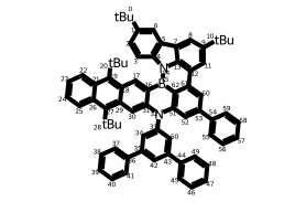 CC(C)(C)c1ccc2c(c1)c1cc(C(C)(C)C)cc3c1n2B1c2cc4c(C(C)(C)C)c5ccccc5c(C(C)(C)C)c4cc2N(c2cc(-c4ccccc4)cc(-c4ccccc4)c2)c2cc(-c4ccccc4)cc-3c21